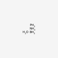 B.N.O.P